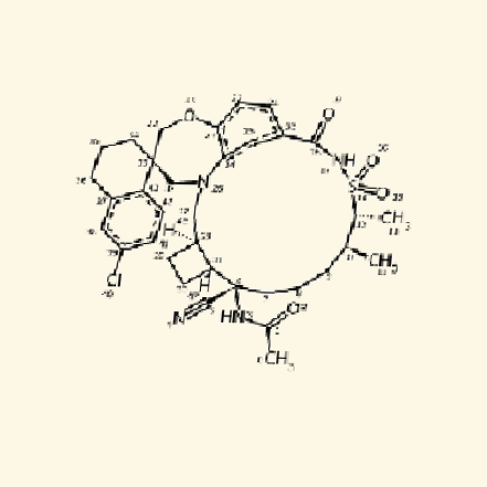 CC(=O)N[C@@]1(C#N)CCC[C@H](C)[C@@H](C)S(=O)(=O)NC(=O)c2ccc3c(c2)N(C[C@@H]2CC[C@H]21)C[C@@]1(CCCc2cc(Cl)ccc21)CO3